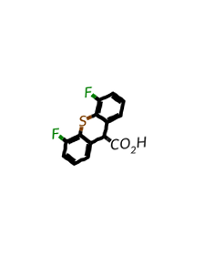 O=C(O)C1c2cccc(F)c2Sc2c(F)cccc21